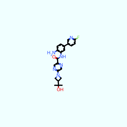 CC(C)(O)C1CN(c2cnc(C(=O)Nc3cc(-c4ccc(F)nc4)ccc3N)cn2)C1